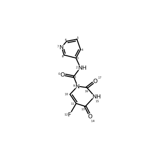 O=C(Nc1cccnc1)n1cc(F)c(=O)[nH]c1=O